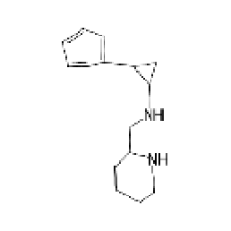 c1ccc(C2CC2NCC2CCCCN2)cc1